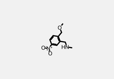 CNCc1cc([N+](=O)[O-])ccc1COC